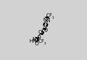 O=C(C[C@@H]1CC[C@@H](COc2cn[nH]c(=O)c2C(F)(F)F)O1)N1CCN(c2ncc(C(F)(F)F)cn2)CC1